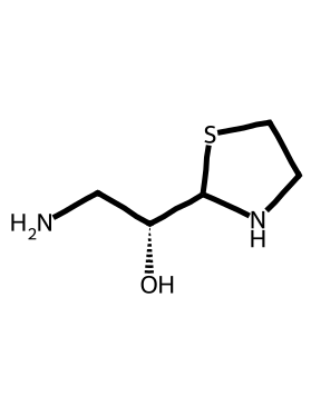 NC[C@@H](O)C1NCCS1